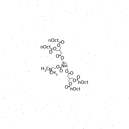 CCCCCCCCC(=O)OCC(COC(=O)CCCCCCCC)CC(=O)OC[C@@H]1C[C@H](COC(=O)CC(COC(=O)CCCCCCCC)COC(=O)CCCCCCCC)N1C(=O)OCCN(C)C